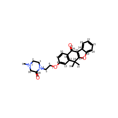 CN1CCN(CCOc2ccc3c(c2)C(C)(C)c2oc4ccccc4c2C3=O)C(=O)C1